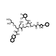 CN(C(=O)NCc1cccc(F)c1Cl)[C@@H](CCCNC(=O)N(CCO)C(CCOC[C@H](O)CO)OC(=O)Nc1cc2ccccc2cn1)COC(=O)Nc1cc(-c2ccccc2)no1